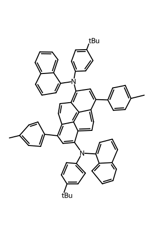 Cc1ccc(-c2cc(N(c3ccc(C(C)(C)C)cc3)c3cccc4ccccc34)c3ccc4c(-c5ccc(C)cc5)cc(N(c5ccc(C(C)(C)C)cc5)c5cccc6ccccc56)c5ccc2c3c45)cc1